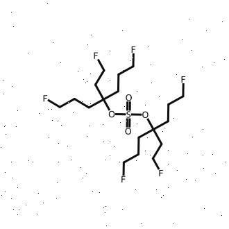 O=S(=O)(OC(CCF)(CCCF)CCCF)OC(CCF)(CCCF)CCCF